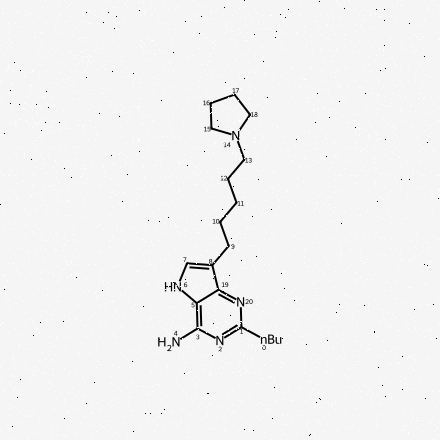 CCCCc1nc(N)c2[nH]cc(CCCCCN3CCCC3)c2n1